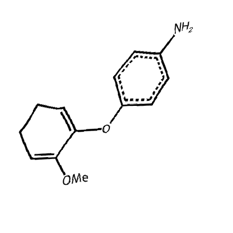 COC1=CCCC=C1Oc1ccc(N)cc1